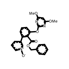 COc1cc(OC)nc(Oc2cccc(-c3ccc[n+]([O-])c3)c2C(=O)OCc2ccccc2)n1